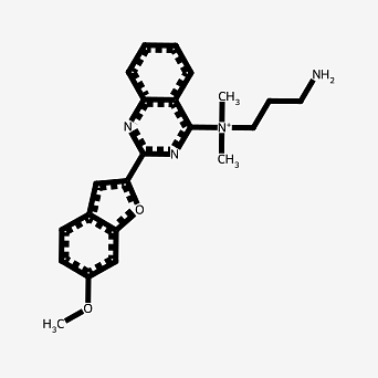 COc1ccc2cc(-c3nc([N+](C)(C)CCCN)c4ccccc4n3)oc2c1